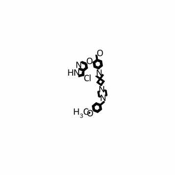 COc1ccc(CN2CCN(C3CC4(C3)CN(c3ccc(C=O)c(Oc5cnc6[nH]cc(Cl)c6c5)c3)C4)CC2)cc1